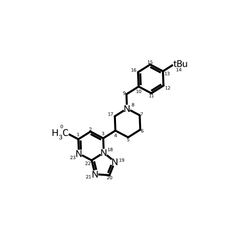 Cc1cc(C2CCCN(Cc3ccc(C(C)(C)C)cc3)C2)n2ncnc2n1